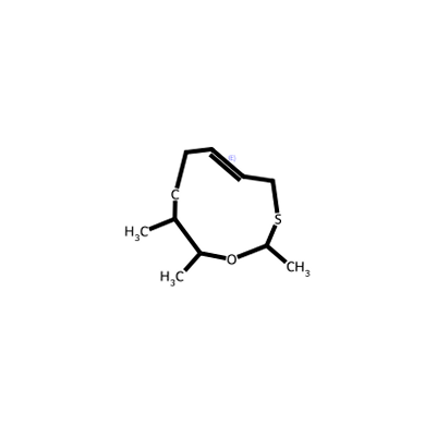 CC1OC(C)C(C)CC/C=C/CS1